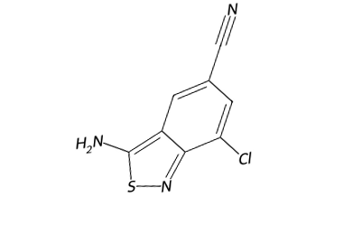 N#Cc1cc(Cl)c2nsc(N)c2c1